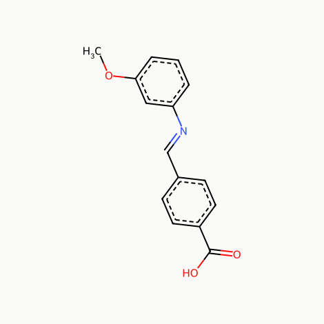 COc1cccc(/N=C/c2ccc(C(=O)O)cc2)c1